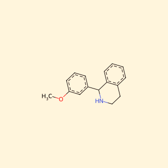 COc1cccc(C2NCCc3ccccc32)c1